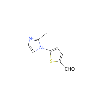 Cc1nccn1-c1ccc(C=O)s1